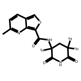 [2H]C1([2H])CC([2H])(NC(=O)c2scc3ccc(C)nc23)C(=O)NC1=O